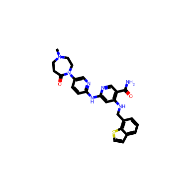 CN1CCC(=O)N(c2ccc(Nc3cc(NCc4cccc5ccsc45)c(C(N)=O)cn3)nc2)CC1